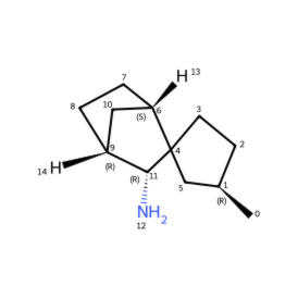 C[C@@H]1CCC2(C1)[C@H]1CC[C@H](C1)[C@H]2N